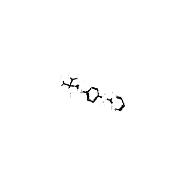 O=C(Nc1ccc(S(=O)(=O)c2ncccn2)cc1)C(O)(C(F)F)C(F)F